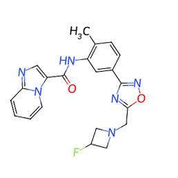 Cc1ccc(-c2noc(CN3CC(F)C3)n2)cc1NC(=O)c1cnc2ccccn12